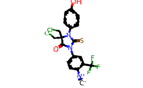 [C-]#[N+]c1ccc(N2C(=O)C(CCl)(CCl)N(c3ccc(O)cc3)C2=S)cc1C(F)(F)F